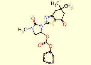 CN1CC(OC(=O)Oc2ccccc2)N(c2nc3c(s2)C(=O)CC(C)(C)C3)C1=O